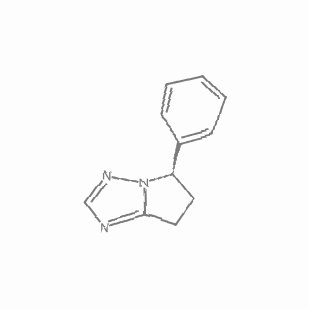 c1ccc([C@H]2CCc3ncnn32)cc1